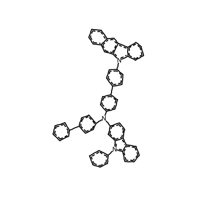 c1ccc(-c2ccc(N(c3ccc(-c4ccc(-n5c6ccccc6c6cc7ccccc7cc65)cc4)cc3)c3ccc4c5ccccc5n(-c5ccccc5)c4c3)cc2)cc1